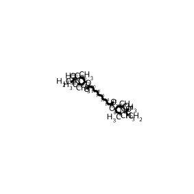 C=CC(=O)N1C(C)(C)CC(OC(=O)CCCCCCCCC(=O)OC2CC(C)(C)N(C(=O)C=C)C(C)(C)C2)CC1(C)C